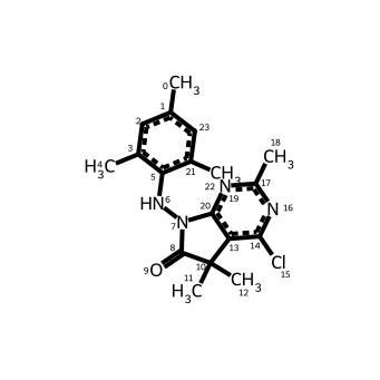 Cc1cc(C)c(NN2C(=O)C(C)(C)c3c(Cl)nc(C)nc32)c(C)c1